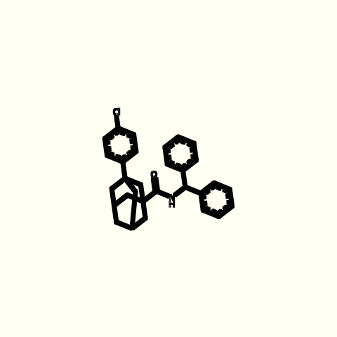 O=C(NC(c1ccccc1)c1ccccc1)C12CC3CC(C1)CC(c1ccc(Cl)cc1)(C3)C2